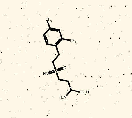 N=S(=O)(CCc1ccc(C(F)(F)F)cc1C(F)(F)F)CC[C@H](N)C(=O)O